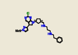 CSn1ccc(-c2cn([C@H]3CC[C@@H](CNCCCNCCc4ccccc4)C3)c3nc(Cl)ncc23)n1